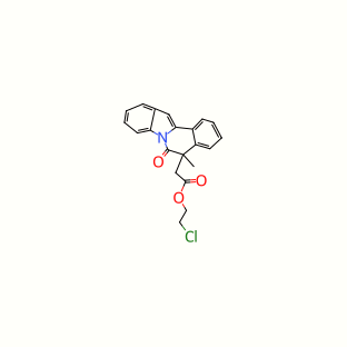 CC1(CC(=O)OCCCl)C(=O)n2c(cc3ccccc32)-c2ccccc21